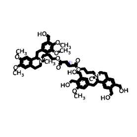 COc1cc2c(cc1OC)C(Cc1cc(CO)c(OC)c(OC)c1)[N+](C)(CCCOC(=O)/C=C/C(=O)OCCC[N+]1(C)CCc3cc(CO)c(CO)cc3C1Cc1cc(CO)c(CO)c(OC)c1)CC2